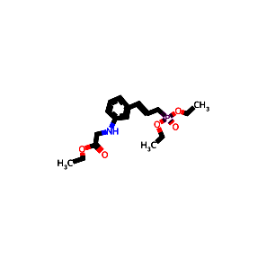 CCOC(=O)CNc1cccc(C=CCP(=O)(OCC)OCC)c1